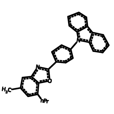 CCCc1cc(C)cc2nc(-c3ccc(-n4c5ccccc5c5ccccc54)cc3)oc12